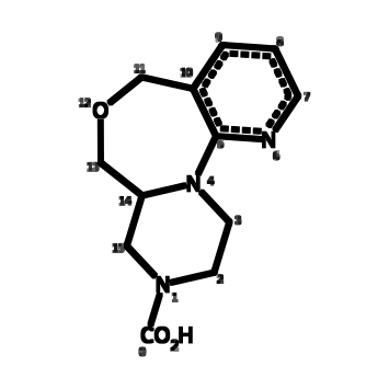 O=C(O)N1CCN2c3ncccc3COCC2C1